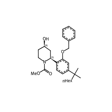 CCCCCCC(C)(C)c1ccc([C@@H]2C[C@H](O)CCN2C(=O)OC)c(OCc2ccccc2)c1